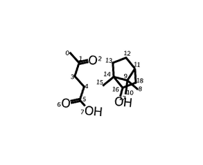 CC(=O)CCC(=O)O.CC1(C)C2CCC1(C)C(O)C2